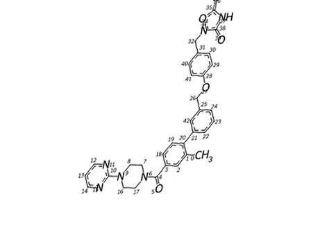 Cc1cc(C(=O)N2CCN(c3ncccn3)CC2)ccc1-c1cccc(COc2ccc(Cn3oc(=O)[nH]c3=O)cc2)c1